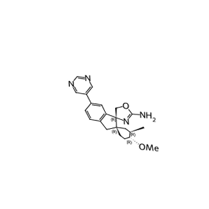 CO[C@@H]1CC[C@]2(Cc3ccc(-c4cncnc4)cc3[C@@]23COC(N)=N3)C[C@H]1C